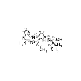 CCCCc1nc2c(N)nc3ccsc3c2n1Cc1ccc(CN[C@H](CO)[C@@H](C)CC)cc1